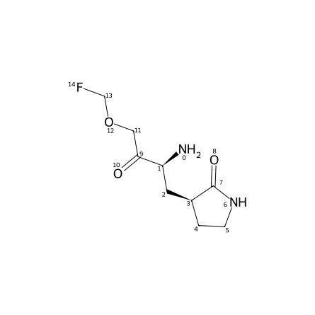 N[C@@H](C[C@@H]1CCNC1=O)C(=O)COCF